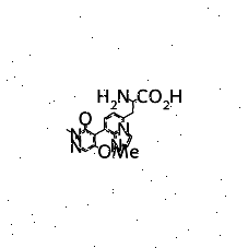 COc1cnn(C)c(=O)c1-c1ccc(CC(N)C(=O)O)n2ccnc12